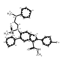 CNC(=O)c1c(-c2ccc(F)cc2)oc2cc(N(CCN(C)c3ccccc3)S(C)(=O)=O)c(-c3ccccc3)cc12